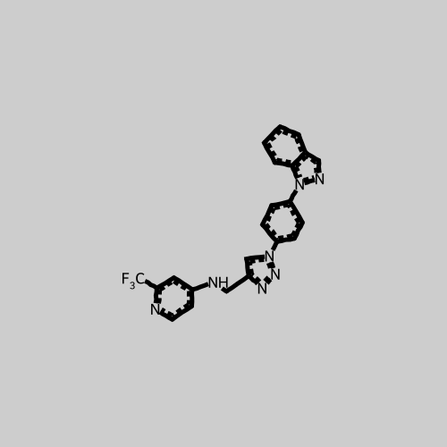 FC(F)(F)c1cc(NCc2cn(-c3ccc(-n4ncc5ccccc54)cc3)nn2)ccn1